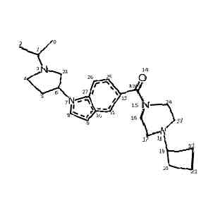 CC(C)N1CCC(n2ccc3cc(C(=O)N4CCN(C5CCC5)CC4)ccc32)C1